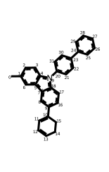 Cc1ccc2c(c1)c1cc(C3=CC=CCC3)ccc1n2-c1ccc(-c2ccccc2)cc1